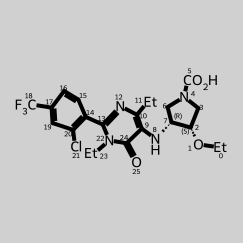 CCO[C@H]1CN(C(=O)O)C[C@H]1Nc1c(CC)nc(-c2ccc(C(F)(F)F)cc2Cl)n(CC)c1=O